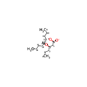 CCCC(=O)CC(=O)[O-].CCC[CH2][Al+][CH2]CCC